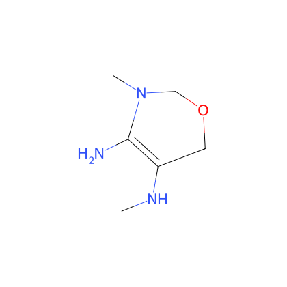 CNC1=C(N)N(C)COC1